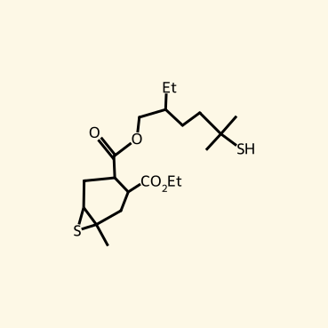 CCOC(=O)C1CC2(C)SC2CC1C(=O)OCC(CC)CCC(C)(C)S